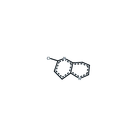 Clc1ccc2n[c]ccc2n1